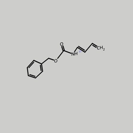 C=C/C=C/NC(=O)OCc1ccccc1